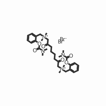 CN(C)C(=O)Oc1ccccc1C[N+](C)(C)CC(=O)CCCCC(=O)C[N+](C)(C)Cc1ccccc1OC(=O)N(C)C.[Br-].[Br-]